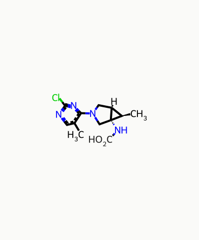 Cc1cnc(Cl)nc1N1C[C@H]2[C@@H](C)[C@@]2(NC(=O)O)C1